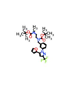 CN(CCN(Cc1cccc(-n2nc(C(F)(F)F)cc2-c2ccco2)c1)C(=O)OC(C)(C)C)C(=O)OC(C)(C)C